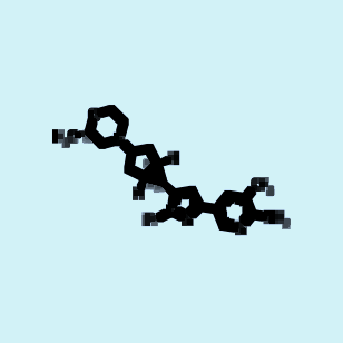 CC(C)n1nc(-c2cnc(N)c(C(F)(F)F)c2)cc1[C@H]1[C@@H]2CC(N3CCO[C@@H](C)C3)C[C@@H]21